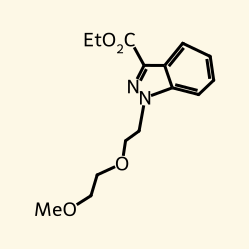 CCOC(=O)c1nn(CCOCCOC)c2ccccc12